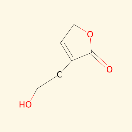 O=C1OCC=C1CCO